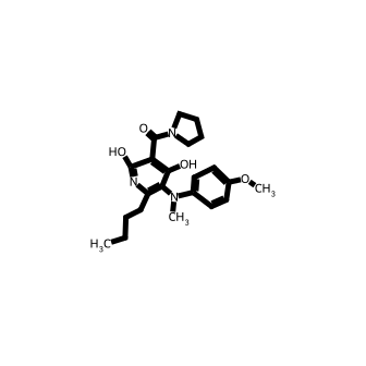 CCCCc1nc(O)c(C(=O)N2CCCC2)c(O)c1N(C)c1ccc(OC)cc1